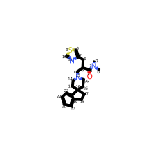 CN(C)C(=O)C(Cc1cscn1)CN1CCC2(CCc3ccccc32)CC1